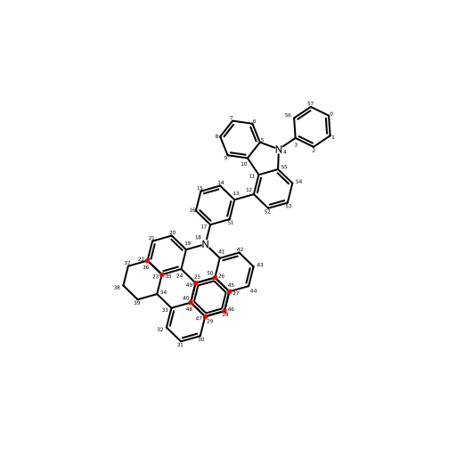 c1ccc(-n2c3ccccc3c3c(-c4cccc(N(c5ccccc5-c5cccc6cccc(C7CCCCC7)c56)c5cccc6ccccc56)c4)cccc32)cc1